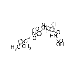 Cc1cccc(OCCCC(=O)N2CCCOc3c(-c4cnn(Cc5c(F)cc(C(=O)NCCC(=O)O)cc5Cl)c4)cccc32)c1C